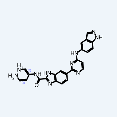 N/C=C\C(=C/N)NC(=O)c1nc2ccc(-c3nccc(Nc4ccc5[nH]ncc5c4)n3)cc2[nH]1